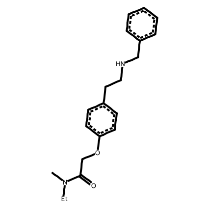 CCN(C)C(=O)COc1ccc(CCNCc2ccccc2)cc1